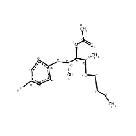 CCCCO[C@@H](C)[C@H](OC(C)=O)[C@H](O)Cc1ccc(F)cc1